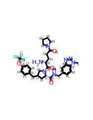 Cn1nnc2cc(CNC(=O)[C@@H]3CC(Cc4ccc(OC(F)(F)F)cc4)CN3C(=O)[C@H](N)CCC(=O)N3CCCC3)ccc21